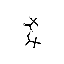 CC(COC(=O)C(F)(F)F)C(C)(C)C